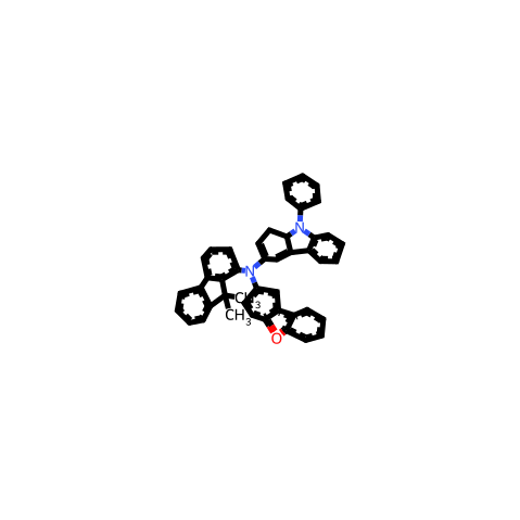 CC1(C)c2ccccc2-c2cccc(N(C3=CCC4C(=C3)c3ccccc3N4c3ccccc3)c3ccc4oc5ccccc5c4c3)c21